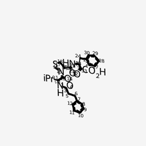 CC(C)[C@H](NC(=O)CCc1ccccc1)C(=O)N1CSC[C@H]1C(=O)N[C@@H](Cc1ccccc1)C(=O)C(=O)O